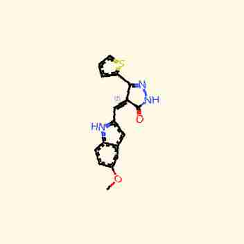 COc1ccc2[nH]c(/C=C3\C(=O)NN=C3c3cccs3)cc2c1